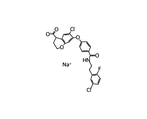 O=C(NCCc1cc(Cl)ccc1F)c1ccc(Oc2cc3c(cc2Cl)C(C(=O)[O-])CCO3)cc1.[Na+]